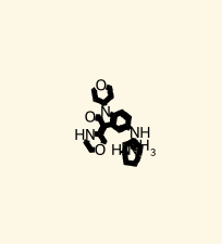 CN1C2CC[C@@H]1CC(Nc1ccc3c(c1)/C(=C1\COCCN1)C(=O)N3C1CCOCC1)C2